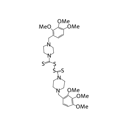 COc1ccc(CN2CCN(C(=S)SSC(=S)N3CCN(Cc4ccc(OC)c(OC)c4OC)CC3)CC2)c(OC)c1OC